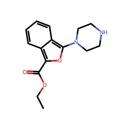 CCOC(=O)c1oc(N2CCNCC2)c2ccccc12